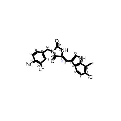 Cc1c(Cl)ccc2c(/C=C3\NC(=O)N(Cc4ccc(C#N)c(F)c4)C3=O)c[nH]c12